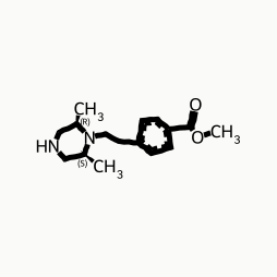 COC(=O)c1ccc(CCN2[C@H](C)CNC[C@@H]2C)cc1